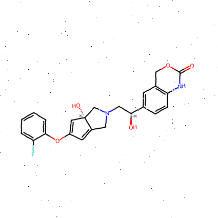 O=C1Nc2ccc([C@@H](O)CN3CC4=CC(Oc5ccccc5F)=C[C@@]4(O)C3)cc2CO1